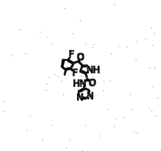 Cc1ccc(F)c(C(=O)c2c[nH]c(C(=O)Nc3cncnc3)c2)c1F